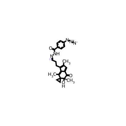 CC1=C(CC/C=N\NC(=O)c2ccc(N=[N+]=[N-])cc2)C2=C(C)C3(CC3)[C@@](C)(O)C(=O)C2=C1